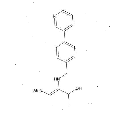 CN/C=C(\NCc1ccc(-c2cccnc2)cc1)C(C)O